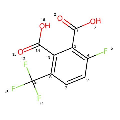 O=C(O)c1c(F)ccc(C(F)(F)F)c1C(=O)O